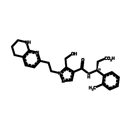 Cc1ccccc1[C@H](CC(=O)O)NC(=O)c1cnn(CCc2ccc3c(n2)NCCC3)c1CO